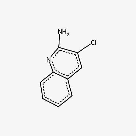 Nc1nc2ccccc2cc1Cl